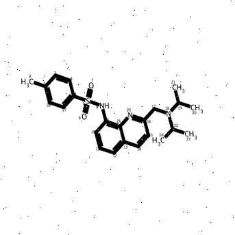 Cc1ccc(S(=O)(=O)Nc2cccc3ccc(CN(C(C)C)C(C)C)nc23)cc1